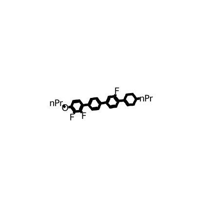 CCCOc1ccc(-c2ccc(-c3ccc(C4=CCC(CCC)CC4)c(F)c3)cc2)c(F)c1F